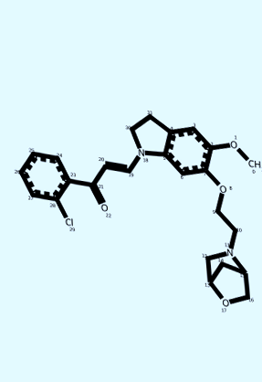 COc1cc2c(cc1OCCN1CC3CC1CO3)N(/C=C/C(=O)c1ccccc1Cl)CC2